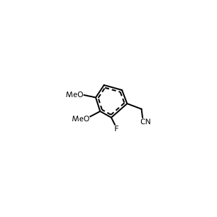 COc1ccc(CC#N)c(F)c1OC